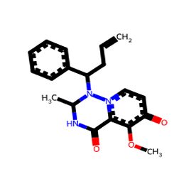 C=CCC(c1ccccc1)N1C(C)NC(=O)c2c(OC)c(=O)ccn21